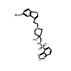 COc1ccc2occ(CCN3CCC(O)(CNS(=O)(=O)c4cccc5nonc45)CC3)c2c1